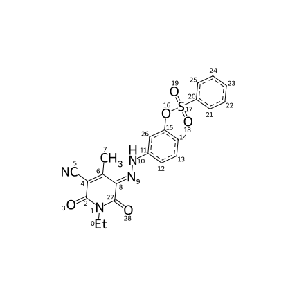 CCN1C(=O)C(C#N)=C(C)/C(=N\Nc2cccc(OS(=O)(=O)c3ccccc3)c2)C1=O